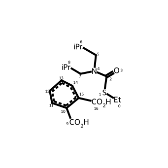 CCSC(=O)N(CC(C)C)CC(C)C.O=C(O)c1ccccc1C(=O)O